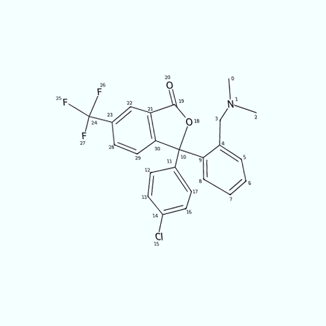 CN(C)Cc1ccccc1C1(c2ccc(Cl)cc2)OC(=O)c2cc(C(F)(F)F)ccc21